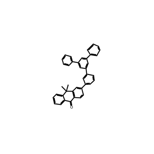 CC1(C)c2ccccc2C(=O)c2ccc(-c3cccc(-c4cc(-c5ccccc5)cc(-c5ccccc5)c4)c3)cc21